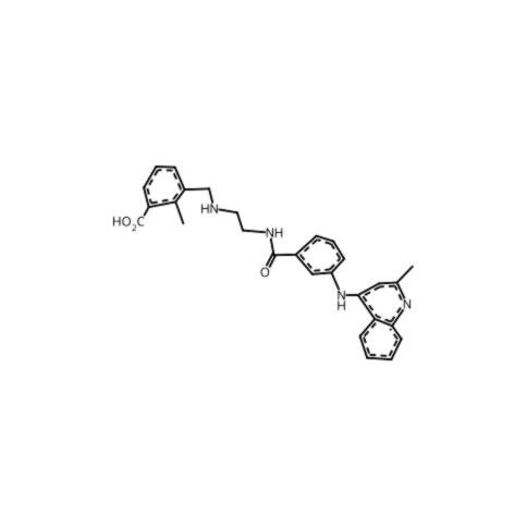 Cc1cc(Nc2cccc(C(=O)NCCNCc3cccc(C(=O)O)c3C)c2)c2ccccc2n1